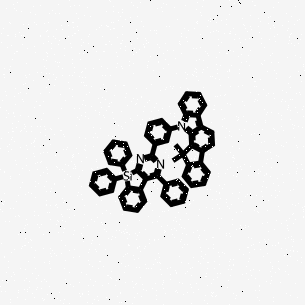 CC1(C)c2ccccc2-c2ccc3c4ccccc4n(-c4cccc(-c5nc(-c6ccccc6)c6c(n5)[Si](c5ccccc5)(c5ccccc5)c5ccccc5-6)c4)c3c21